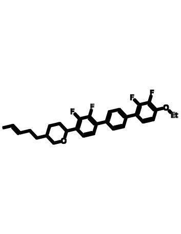 C/C=C/CCC1CCC(c2ccc(-c3ccc(-c4ccc(OCC)c(F)c4F)cc3)c(F)c2F)OC1